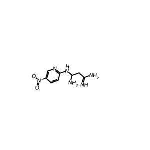 N=C(N)CC(N)Nc1ccc([N+](=O)[O-])cn1